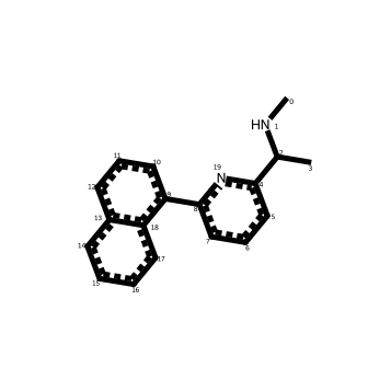 CNC(C)c1cccc(-c2cccc3ccccc23)n1